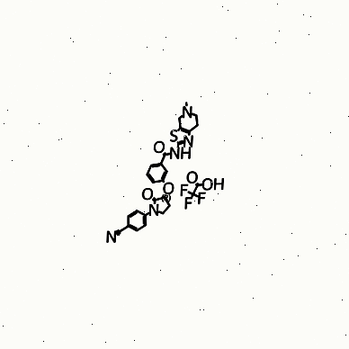 CN1CCc2nc(NC(=O)c3cccc(O[C@@H]4CCN(c5ccc(C#N)cc5)C4=O)c3)sc2C1.O=C(O)C(F)(F)F